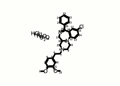 COc1ccc(CCN2CCN3c4ccc(Cl)cc4C(c4ccccc4)=NCC3C2)cc1OC.Cl.Cl.O.O